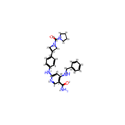 NC(=O)c1cnc(Nc2ccc(C3CN(C(=O)N4CCCC4)C3)cc2)cc1NCc1ccccc1